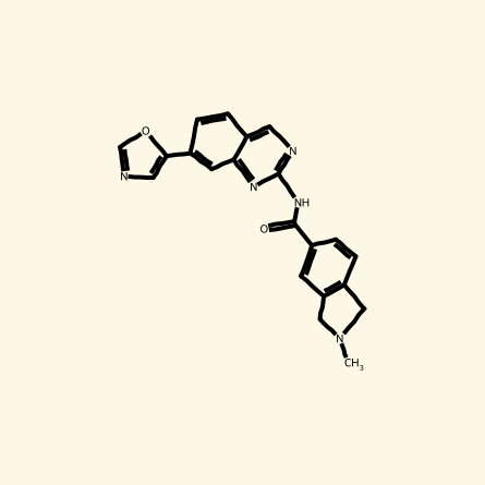 CN1Cc2ccc(C(=O)Nc3ncc4ccc(-c5cnco5)cc4n3)cc2C1